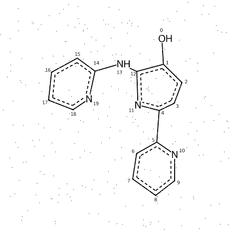 Oc1ccc(-c2ccccn2)nc1Nc1ccccn1